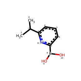 CC(C)c1cccc(B(O)O)n1